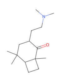 CN(C)CCC1CC(C)(C)C2CCC2(C)C1=O